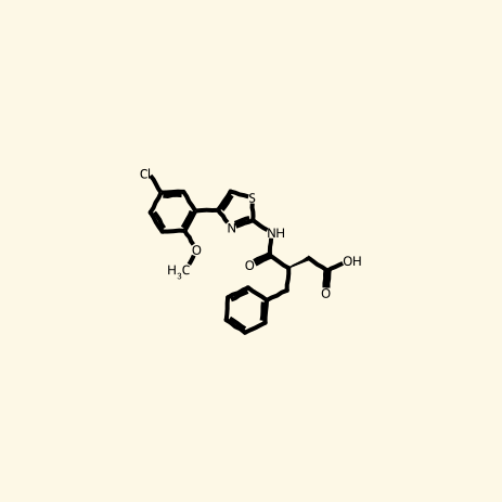 COc1ccc(Cl)cc1-c1csc(NC(=O)[C@@H](CC(=O)O)Cc2ccccc2)n1